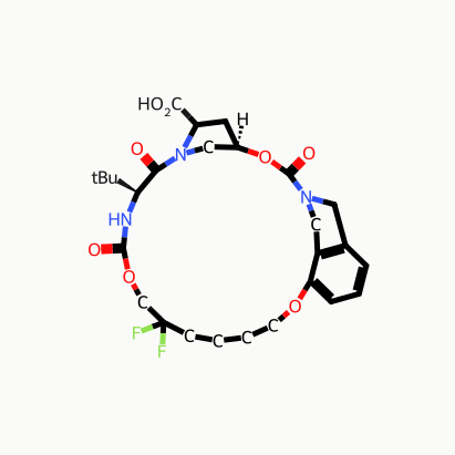 CC(C)(C)[C@@H]1NC(=O)OCC(F)(F)CCCCOc2cccc3c2CN(C3)C(=O)O[C@@H]2CC(C(=O)O)N(C2)C1=O